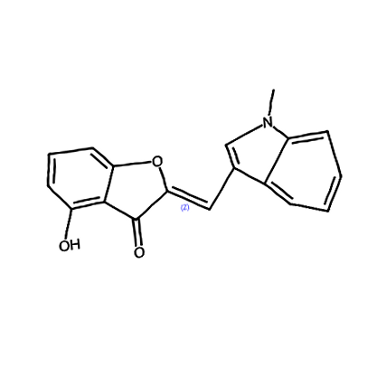 Cn1cc(/C=C2\Oc3cccc(O)c3C2=O)c2ccccc21